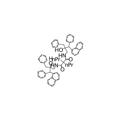 CCCC(CCC)(C(=O)NCC(O)(Cc1ccccc1)C(c1ccccc1)c1cccc2ccccc12)C(=O)NCC(O)(Cc1ccccc1)C(c1ccccc1)c1cccc2ccccc12